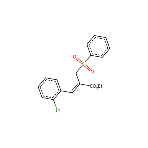 CCOC(=O)/C(=C/c1ccccc1Cl)CS(=O)(=O)c1ccccc1